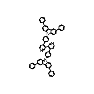 c1ccc(-c2ccc3c(c2)c2cc(-c4ccccc4)ccc2n3-c2ccc(-c3ccncc3-c3cnccc3-c3ccc(-n4c5ccc(-c6ccccc6)cc5c5cc(-c6ccccc6)ccc54)cc3)cc2)cc1